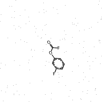 O=C(F)Oc1cccc(F)c1